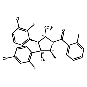 Cc1ccccc1C(=O)N1[C@@H](C)[C@](C#N)(c2ccc(Cl)cc2F)[C@@H](c2cccc(Cl)c2F)[C@@H]1C(=O)O